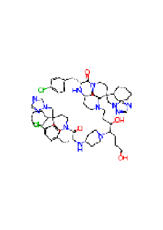 O=C([C@@H](Cc1ccc(Cl)cc1)NC1CCN(CCC(O)C(CCCO)N2CCC(N[C@H](Cc3ccc(Cl)cc3)C(=O)N3CCC(Cn4cncn4)(C4CCCCC4)CC3)CC2)CC1)N1CCC(Cn2cncn2)(C2CCCCC2)CC1